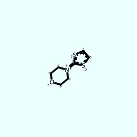 c1csc(=[N+]2CCOCC2)s1